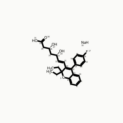 CCC1(CC)Oc2ccccc2C(c2ccc(F)cc2)=C1C=C[C@@H](O)C[C@@H](O)CC(=O)O.[NaH]